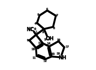 N#CC1(C2(O)CCCCC2)Cc2ccc3c(c21)CCN3